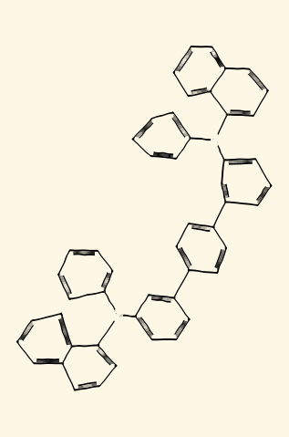 c1ccc(N(c2cccc(-c3ccc(-c4cccc(N(c5ccccc5)c5cccc6ccccc56)c4)cc3)c2)c2cccc3ccccc23)cc1